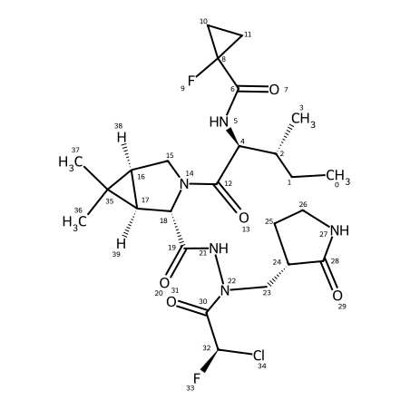 CC[C@@H](C)[C@H](NC(=O)C1(F)CC1)C(=O)N1C[C@H]2[C@@H]([C@H]1C(=O)NN(C[C@@H]1CCNC1=O)C(=O)[C@H](F)Cl)C2(C)C